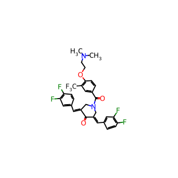 CN(C)CCOc1ccc(C(=O)N2C/C(=C\c3ccc(F)c(F)c3)C(=O)/C(=C/c3ccc(F)c(F)c3)C2)cc1C(F)(F)F